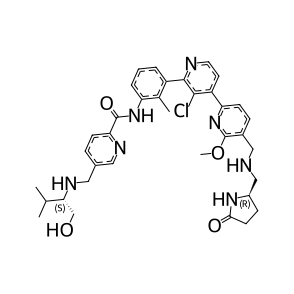 COc1nc(-c2ccnc(-c3cccc(NC(=O)c4ccc(CN[C@H](CO)C(C)C)cn4)c3C)c2Cl)ccc1CNC[C@H]1CCC(=O)N1